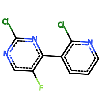 Fc1cnc(Cl)nc1-c1cccnc1Cl